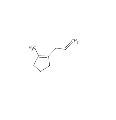 C=CCC1=C(C)CCC1